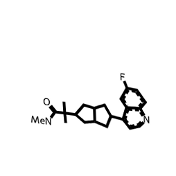 CNC(=O)C(C)(C)C1CC2CC(c3ccnc4ccc(F)cc34)CC2C1